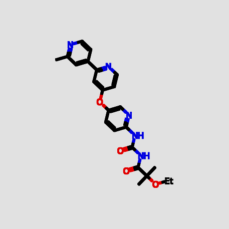 CCOC(C)(C)C(=O)NC(=O)Nc1ccc(Oc2ccnc(-c3ccnc(C)c3)c2)cn1